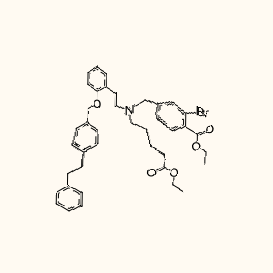 CCOC(=O)CCCCN(CCc1ccccc1OCc1ccc(CCc2ccccc2)cc1)Cc1ccc(C(=O)OCC)c(Br)c1